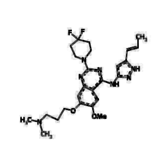 CC=Cc1cc(Nc2nc(N3CCC(F)(F)CC3)nc3cc(OCCCN(C)C)c(OC)cc23)n[nH]1